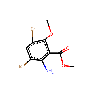 COC(=O)c1c(N)c(Br)cc(Br)c1OC